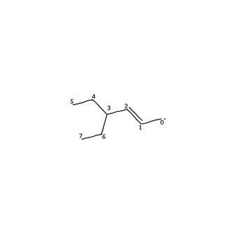 [CH2]C=CC(CC)CC